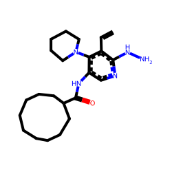 C=Cc1c(NN)ncc(NC(=O)C2CCCCCCCCC2)c1N1CCCCC1